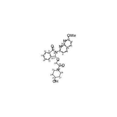 COc1ccc2ccc(N3C(=O)c4ccccc4C3OCC(=O)N3CCC(O)CC3)nc2n1